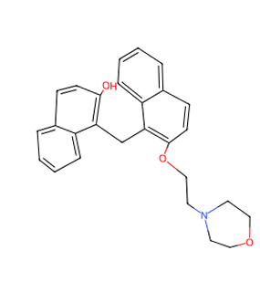 Oc1ccc2ccccc2c1Cc1c(OCCN2CCOCC2)ccc2ccccc12